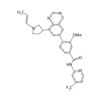 CC=CN1CCC(c2cc(-c3ccc(C(=O)Nc4cc(C(F)(F)F)ccn4)cc3OC)cc3cncnc23)C1